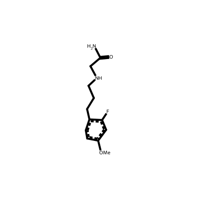 COc1ccc(CCCNCC(N)=O)c(F)c1